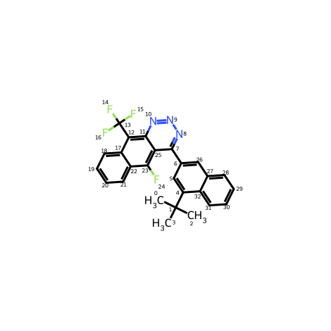 CC(C)(C)c1cc(-c2nnnc3c(C(F)(F)F)c4ccccc4c(F)c23)cc2ccccc12